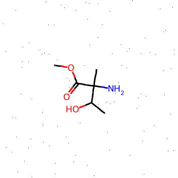 COC(=O)C(C)(N)C(C)O